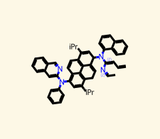 C=C/C=C(\N=C/C)N(c1cccc2ccccc12)C1C=C(C(C)C)c2ccc3c(N(c4ccccc4)c4cc5ccccc5cn4)cc(C(C)C)c4c3c2C1=CC4